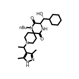 CCCCN1C(=O)[C@@H]([C@H](O)C2CCCCC2)NC(=O)C12CCN(C(C)c1c(C)n[nH]c1C)CC2